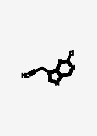 C#CCn1cnc2cnc(Cl)nc21